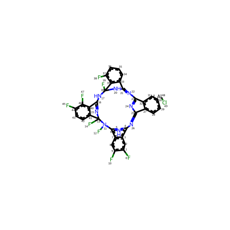 Fc1cc2c3[nH]c(c2cc1F)N(F)C1(F)N=C(NC2(F)N\C(=N/C4=N\C(=N/3)c3ccccc34)c3cccc(F)c32)c2c1ccc(F)c2F.[AlH2][Cl]